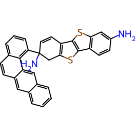 Nc1ccc2c(c1)sc1c3c(sc12)CC(N)(c1cccc2ccc4cc5ccccc5cc4c12)C=C3